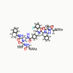 CN[C@@H](C)C(=O)N[C@H](C(=O)N1C[C@@H](NC(=O)c2ccc(CN(C(=O)[C@@H]3Cc4ccccc4CN3C(=O)[C@@H](NC(=O)[C@H](C)NC)C(C)(C)C)C(C)c3ccccc3F)cc2)C[C@H]1C(=O)N[C@@H]1CCCc2ccccc21)C(C)(C)C